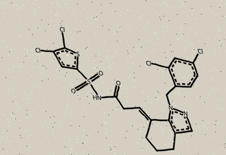 O=C(C/C=C1\CCCc2cnn(Cc3ccc(Cl)cc3Cl)c21)NS(=O)(=O)c1cc(Cl)c(Cl)s1